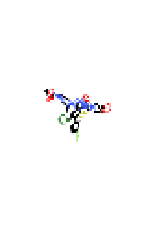 CC1CN(C(=O)OC(C)(C)C)CCN1c1nc(=O)n2c3c(c(-c4ccc(F)cc4)c(Cl)cc13)SC[C@@H]2CN1CCC2(CC1)COC2